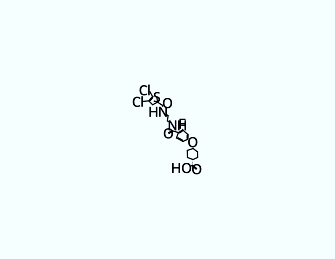 O=C(NCCNC(=O)C1CC(Cl)=C(Cl)S1)c1ccc(O[C@H]2CC[C@@H](C(=O)O)CC2)cc1F